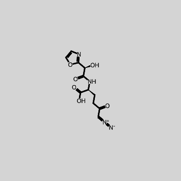 [N-]=[N+]=CC(=O)CC[C@H](NC(=O)[C@H](O)c1ncco1)C(=O)O